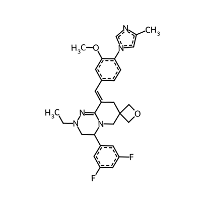 CCN1CC(c2cc(F)cc(F)c2)N2CC3(COC3)C/C(=C\c3ccc(-n4cnc(C)c4)c(OC)c3)C2=N1